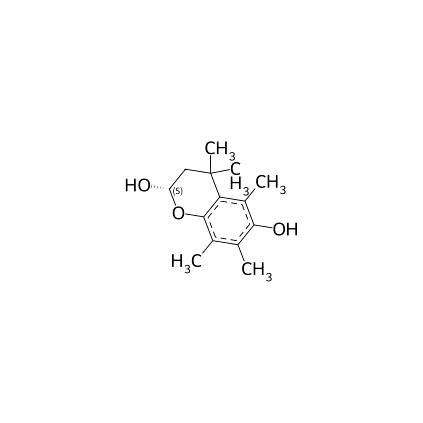 Cc1c(C)c2c(c(C)c1O)C(C)(C)C[C@@H](O)O2